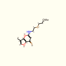 COCCSCCNc1cc(=S)c2occ(C)c2o1